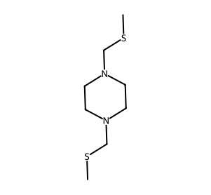 CSCN1CCN(CSC)CC1